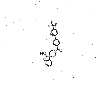 O=C(c1ccc(-c2ccc(C(F)(F)F)cn2)cc1)N1CCC(C(=O)O)(c2ccccc2)CC1